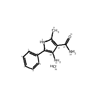 Cc1[nH]c(-c2ccccc2)c(N)c1C(N)=O.Cl